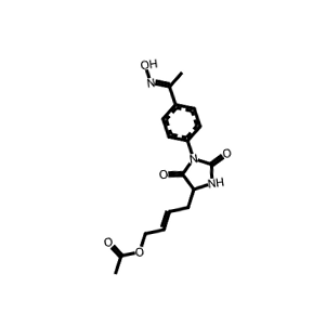 CC(=O)OCC=CCC1NC(=O)N(c2ccc(C(C)=NO)cc2)C1=O